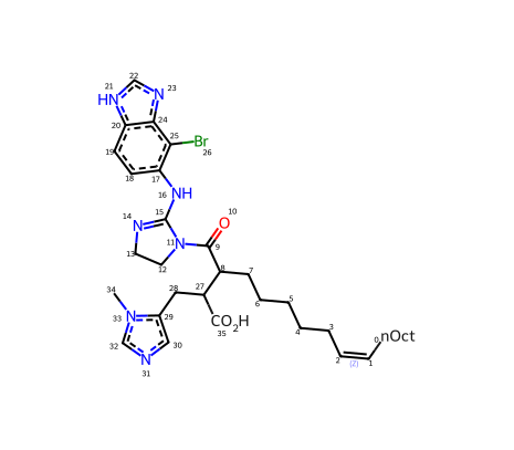 CCCCCCCC/C=C\CCCCCC(C(=O)N1CCN=C1Nc1ccc2[nH]cnc2c1Br)C(Cc1cncn1C)C(=O)O